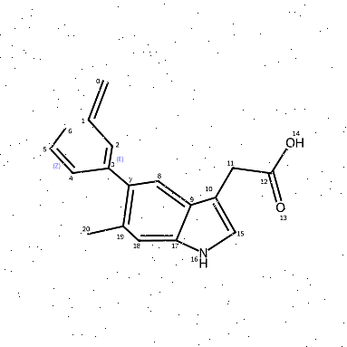 C=C/C=C(\C=C/C)c1cc2c(CC(=O)O)c[nH]c2cc1C